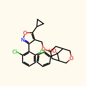 OC1(c2ccccc2)C2COCC1CC(OCc1c(-c3c(Cl)cccc3Cl)noc1C1CC1)C2